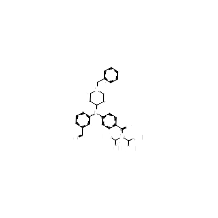 CC(C)N(C(=O)c1ccc(N(c2cccc(C=O)c2)C2CCN(Cc3ccccc3)CC2)cc1)C(C)C